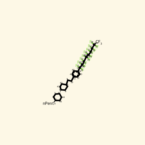 CCCCC[C@H]1CC[C@H](C2CCC(CCc3ccc(C(F)(F)C(F)(F)C(F)(F)C(F)(F)C(F)(F)C(F)(F)C(F)(F)C(F)(F)C(F)(F)F)cc3)CC2)CC1